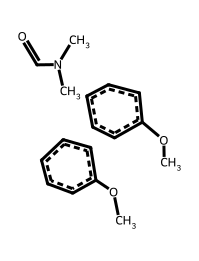 CN(C)C=O.COc1ccccc1.COc1ccccc1